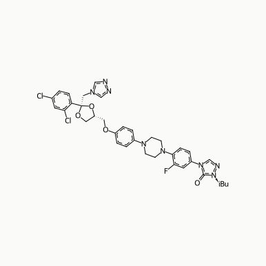 CC[C@H](C)n1ncn(-c2ccc(N3CCN(c4ccc(OC[C@@H]5CO[C@@](Cn6cnnc6)(c6ccc(Cl)cc6Cl)O5)cc4)CC3)c(F)c2)c1=O